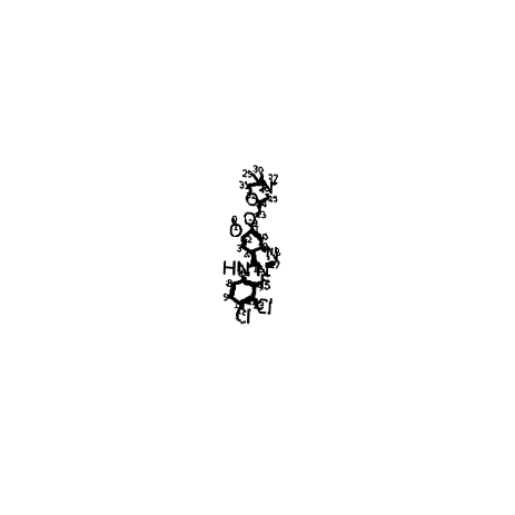 COc1cc2c(Nc3ccc(Cl)c(Cl)c3F)ncnc2cc1OCC1CN(C)C(C)(C)CO1